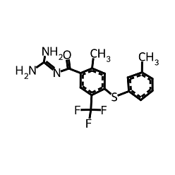 Cc1cccc(Sc2cc(C)c(C(=O)N=C(N)N)cc2C(F)(F)F)c1